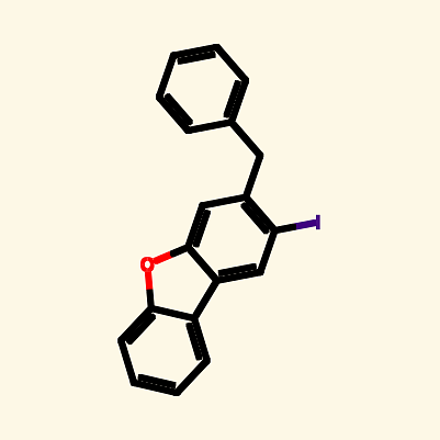 Ic1cc2c(cc1Cc1ccccc1)oc1ccccc12